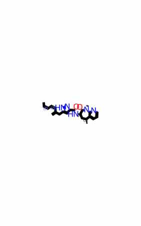 C=C(/C=C\C=C/C)Cc1cc(C(=O)N[C@@H]2C[C@H](C)c3cccnc3N(C)C2=O)n[nH]1